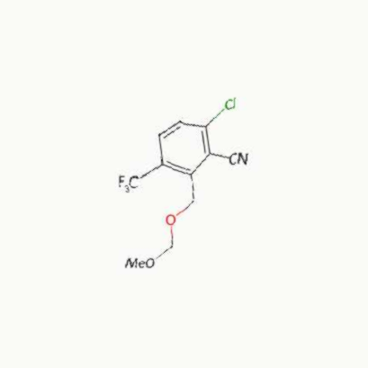 COCOCc1c(C(F)(F)F)ccc(Cl)c1C#N